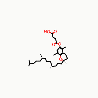 Cc1cc(OC(=O)CCC(=O)O)c(C)c2c1O[C@](C)(CCC[C@H](C)CCC[C@H](C)CCCC(C)C)CC2